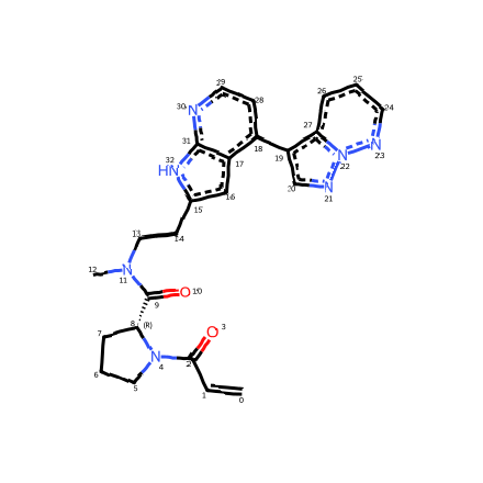 C=CC(=O)N1CCC[C@@H]1C(=O)N(C)CCc1cc2c(-c3cnn4ncccc34)ccnc2[nH]1